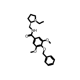 CCN1CCC[C@@H]1CNC(=O)c1cc(OC)c(OCc2ccccc2)c(OC)c1